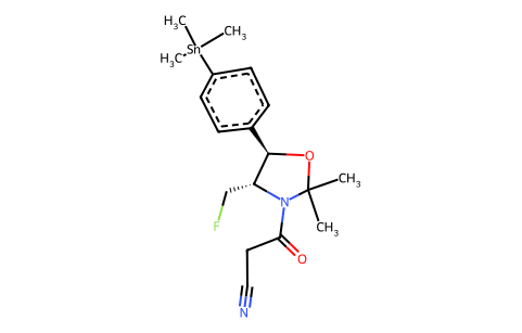 CC1(C)O[C@H](c2cc[c]([Sn]([CH3])([CH3])[CH3])cc2)[C@@H](CF)N1C(=O)CC#N